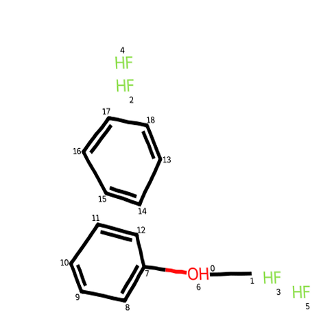 CC.F.F.F.F.Oc1ccccc1.c1ccccc1